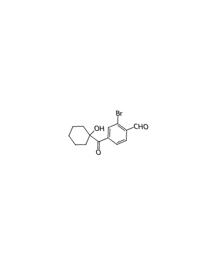 O=Cc1ccc(C(=O)C2(O)CCCCC2)cc1Br